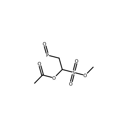 COS(=O)(=O)C(CP=O)OC(C)=O